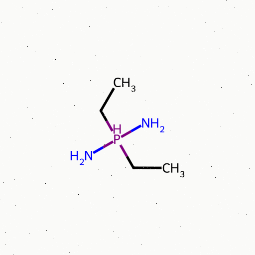 CC[PH](N)(N)CC